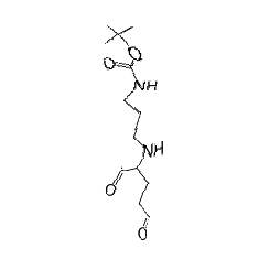 CC(C)(C)OC(=O)NCCCNC([C]=O)CCC=O